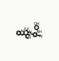 N#Cc1ccc(-n2nc(C(F)(F)F)c3c(-c4cnc5ccccc5c4)ccnc32)cc1NC1CCC(O)CC1